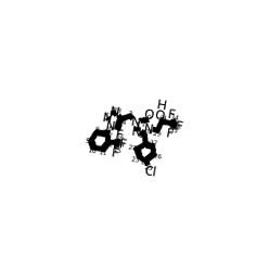 O=c1n(Cc2cn(-c3ccccc3C(F)(F)F)nn2)nc(-c2ccc(Cl)cc2)n1C[C@H](O)C(F)(F)F